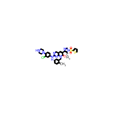 Cc1ccccc1Cn1c(=O)c(-c2ncn(S(=O)(=O)c3cccs3)c2C)cc2cnc(Nc3ccc(N4CCNCC4)c(Cl)c3)nc21